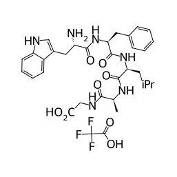 CC(C)C[C@H](NC(=O)[C@H](Cc1ccccc1)NC(=O)[C@@H](N)Cc1c[nH]c2ccccc12)C(=O)N[C@@H](C)C(=O)NCC(=O)O.O=C(O)C(F)(F)F